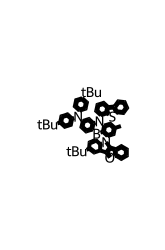 Cc1cc2c3c(c1)N1c4c(oc5ccccc45)C4C=C(C(C)(C)C)C=C(B3c3ccc(N(c5ccc(C(C)(C)C)cc5)c5ccc(C(C)(C)C)cc5)cc3N2c2cccc3c2sc2ccccc23)C41